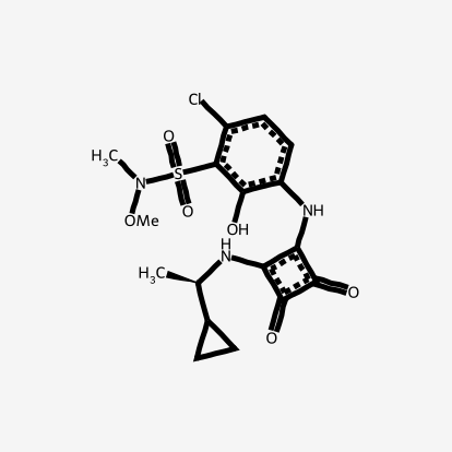 CON(C)S(=O)(=O)c1c(Cl)ccc(Nc2c(N[C@H](C)C3CC3)c(=O)c2=O)c1O